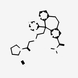 C[C@H](CC1(c2nn[nH]n2)c2sccc2CCc2cc(C(=O)N(C)C)sc21)NCC(=O)N1CCC[C@H]1C#N